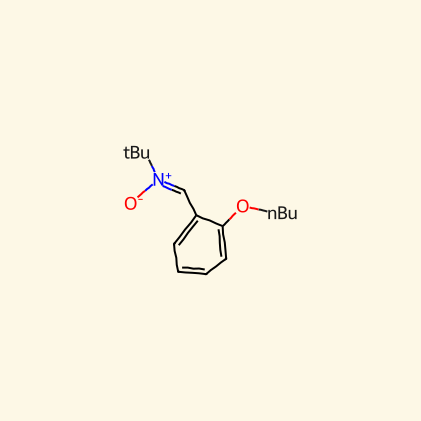 CCCCOc1ccccc1C=[N+]([O-])C(C)(C)C